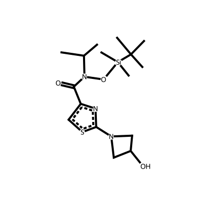 CC(C)N(O[Si](C)(C)C(C)(C)C)C(=O)c1csc(N2CC(O)C2)n1